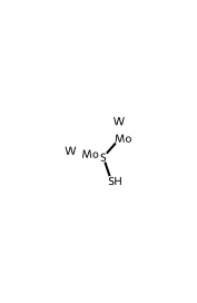 S[S][Mo].[Mo].[W].[W]